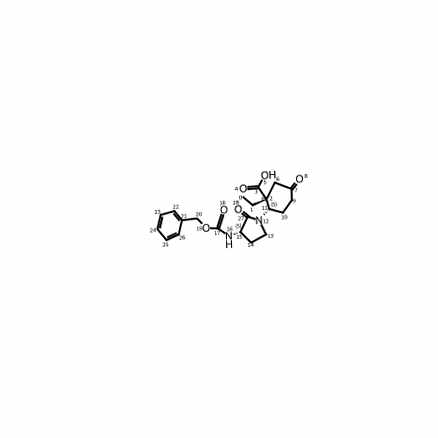 CC[C@@]1(C(=O)O)CC(=O)CC[C@@H]1N1CC[C@H](NC(=O)OCc2ccccc2)C1=O